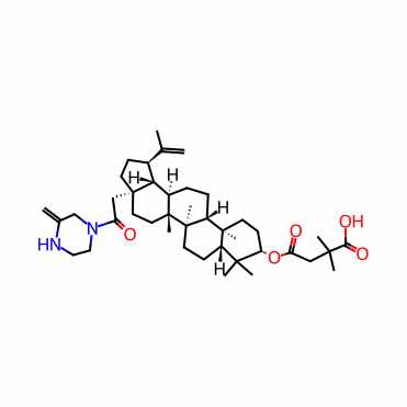 C=C1CN(C(=O)C[C@]23CC[C@@H](C(=C)C)[C@@H]2[C@H]2CC[C@@H]4[C@@]5(C)CC[C@H](OC(=O)CC(C)(C)C(=O)O)C(C)(C)[C@@H]5CC[C@@]4(C)[C@]2(C)CC3)CCN1